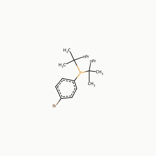 CCCC(C)(C)P(c1ccc(Br)cc1)C(C)(C)CCC